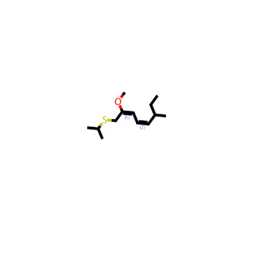 CCC(C)/C=C\C=C(/CSC(C)C)OC